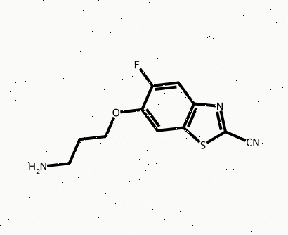 N#Cc1nc2cc(F)c(OCCCN)cc2s1